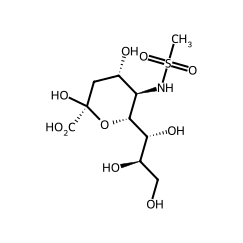 CS(=O)(=O)N[C@H]1[C@H]([C@H](O)[C@H](O)CO)O[C@](O)(C(=O)O)C[C@@H]1O